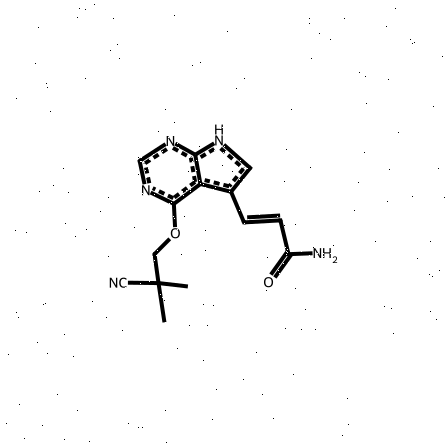 CC(C)(C#N)COc1ncnc2[nH]cc(/C=C/C(N)=O)c12